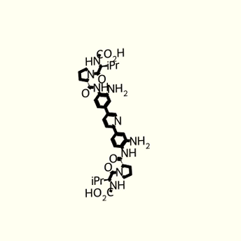 CC(C)[C@H](NC(=O)O)C(=O)N1CCC[C@H]1C(=O)Nc1ccc(-c2ccc(-c3ccc(NC(=O)[C@@H]4CCCN4C(=O)[C@@H](NC(=O)O)C(C)C)c(N)c3)nc2)cc1N